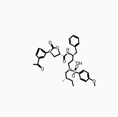 CC[C@H](C)CN(C[C@@H](O)[C@H](Cc1ccccc1)NC(=O)[C@@H]1CN(c2cccc(C(C)=O)c2)C(=O)O1)S(=O)(=O)c1ccc(OC)cc1